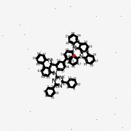 c1ccc(-c2nc(-c3ccccc3)nc(N3c4ccc(-c5ccc(-n6c7ccccc7c7ccc8c9ccccc9n(-c9ccccc9)c8c76)cc5)cc4-c4nc5ccccc5c5cccc3c45)n2)cc1